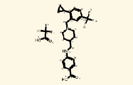 O=C(O)C(F)(F)F.O=C(O)c1ccc(NCC2CCN(Cc3cc(C(F)(F)F)ccc3C3CC3)CC2)cc1